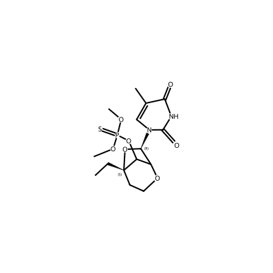 CC[C@]12CCOC(C1OP(=S)(OC)OC)[C@H](n1cc(C)c(=O)[nH]c1=O)O2